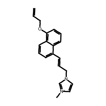 C=CCOc1cccc2c(/C=C/Cn3cc[n+](C)c3)cccc12